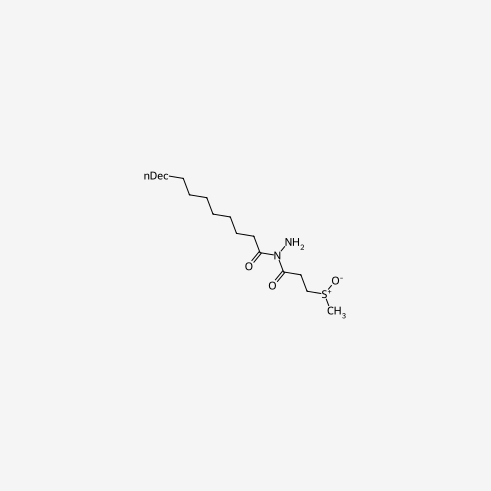 CCCCCCCCCCCCCCCCCC(=O)N(N)C(=O)CC[S+](C)[O-]